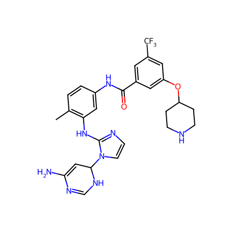 Cc1ccc(NC(=O)c2cc(OC3CCNCC3)cc(C(F)(F)F)c2)cc1Nc1nccn1C1C=C(N)N=CN1